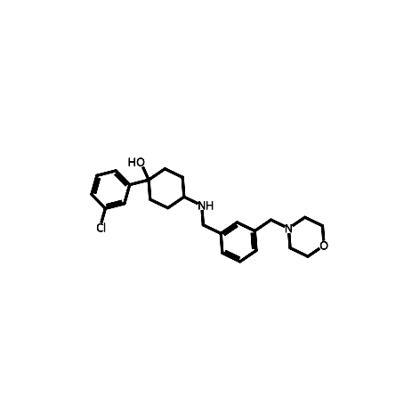 OC1(c2cccc(Cl)c2)CCC(NCc2cccc(CN3CCOCC3)c2)CC1